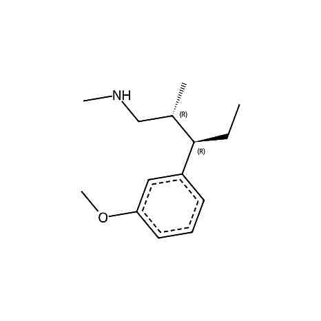 CC[C@@H](c1cccc(OC)c1)[C@@H](C)CNC